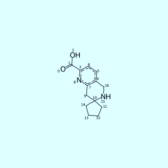 O=C(O)c1ccc2c(n1)CC1(CCCC1)NC2